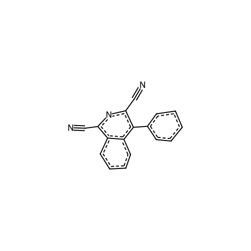 N#Cc1nc(C#N)c2ccccc2c1-c1ccccc1